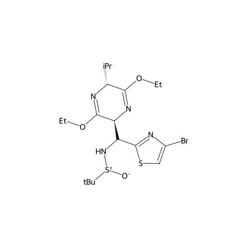 CCOC1=N[C@H](C(C)C)C(OCC)=N[C@H]1C(N[S+]([O-])C(C)(C)C)c1nc(Br)cs1